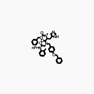 CCCN(C(=O)CN(Cc1ccc(OCc2ccccc2)cc1)C(=O)C(Cc1cnc[nH]1)N(C)C(=O)OCc1ccccc1)c1ccccc1C